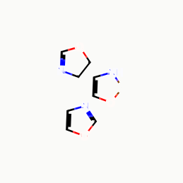 C1=COSN1.C1=NCCO1.c1cocn1